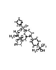 CC(C)CN(C[C@H]1CN(S(=O)(=O)c2cccs2)CCN1c1ccc(C(C)(O)C(F)(F)F)cc1)S(=O)(=O)N(C)C